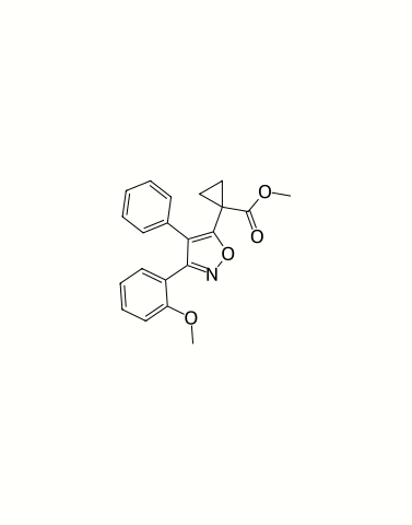 COC(=O)C1(c2onc(-c3ccccc3OC)c2-c2ccccc2)CC1